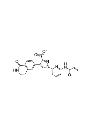 C=CC(=O)Nc1cccc(-n2cc(-c3ccc4c(c3)CCNC4=O)c([N+](=O)[O-])n2)n1